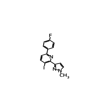 Cn1ccc(-c2nc(-c3ccc(F)cc3)ccc2I)n1